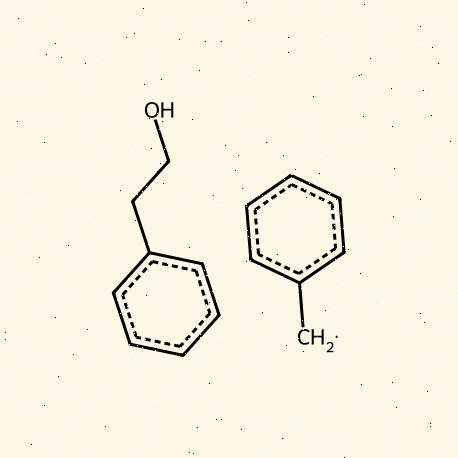 OCCc1ccccc1.[CH2]c1ccccc1